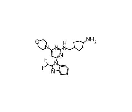 NC1CCC(CNc2nc(N3CCOCC3)cc(-n3c(C(F)F)nc4ccccc43)n2)CC1